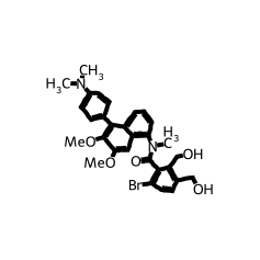 COc1cc2c(N(C)C(=O)c3c(Br)ccc(CO)c3CO)cccc2c(-c2ccc(N(C)C)cc2)c1OC